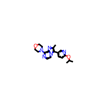 Cc1nc2c(N3CCOCC3)nccn2c1-c1ccc(OC(C)C)nc1